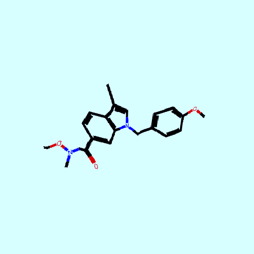 COc1ccc(Cn2cc(C)c3ccc(C(=O)N(C)OC)cc32)cc1